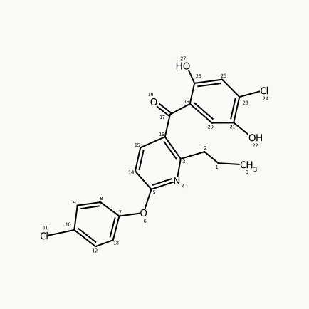 CCCc1nc(Oc2ccc(Cl)cc2)ccc1C(=O)c1cc(O)c(Cl)cc1O